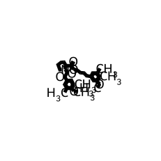 COc1cc(CCCCOC(=O)C2CCCCN2C(=O)C(=O)c2cc(C)c(OC)c(C)c2)cc(C)c1C